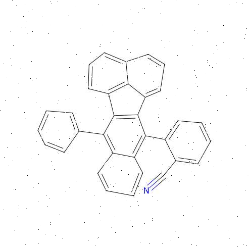 N#Cc1ccccc1-c1c2c(c(-c3ccccc3)c3ccccc13)-c1cccc3cccc-2c13